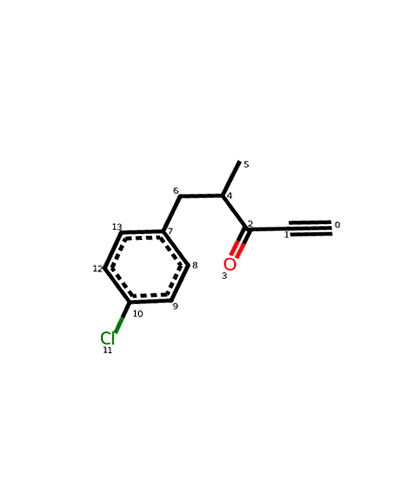 C#CC(=O)C(C)Cc1ccc(Cl)cc1